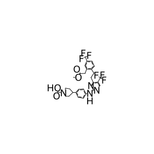 COC(=O)Cc1cc(C(F)(F)F)ccc1CCc1nc(Nc2ccc(C3CCN(C(=O)O)CC3)cc2)ncc1C(F)(F)F